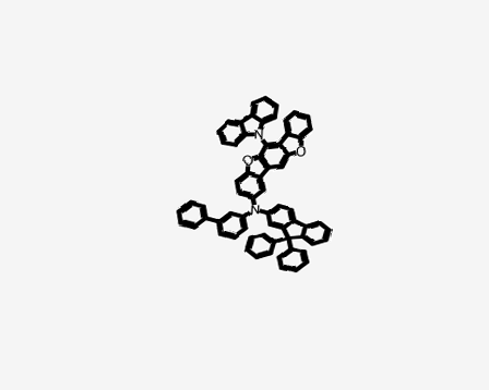 c1ccc(-c2cccc(N(c3ccc4c(c3)C(c3ccccc3)(c3ccccc3)c3ccccc3-4)c3ccc4oc5c(-n6c7ccccc7c7ccccc76)c6c(cc5c4c3)oc3ccccc36)c2)cc1